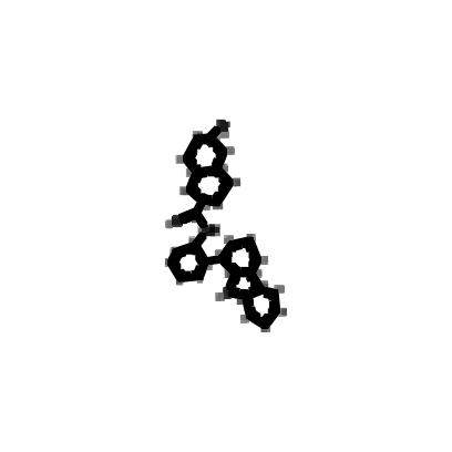 O=C(Nc1ccccc1-c1cccc2c1sc1ccccc12)c1ccc2cc(Br)ccc2c1